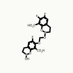 O=C(O)c1c(F)c(F)cc2c1OB(OCOc1c(F)cc3c(c1C(=O)O)OB(O)CC3)CC2